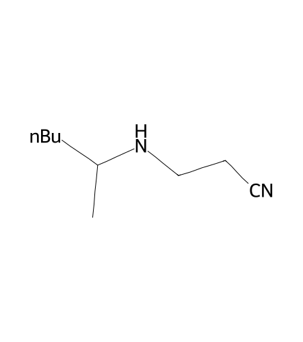 CCCCC(C)NCCC#N